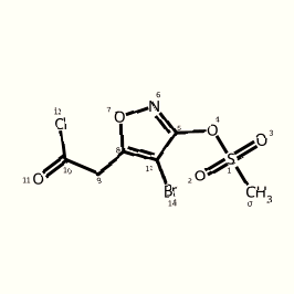 CS(=O)(=O)Oc1noc(CC(=O)Cl)c1Br